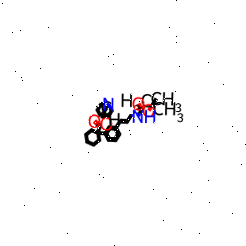 CC(C)(C)OC(=O)NC/C=C/c1cccc(C2(C(=O)O[C@H]3CN4CCC3CC4)CCCCC2)c1